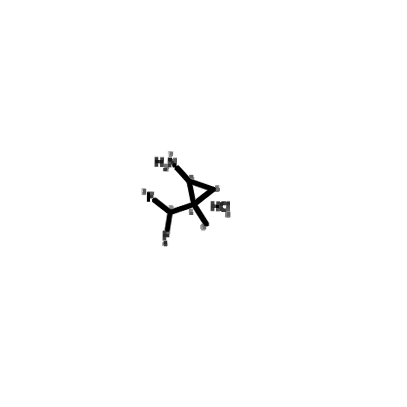 CC1(C(F)F)CC1N.Cl